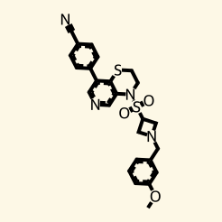 COc1cccc(CN2CC(S(=O)(=O)N3CCSc4c(-c5ccc(C#N)cc5)cncc43)C2)c1